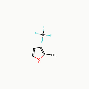 Cc1ccc[oH+]1.F[B-](F)(F)F